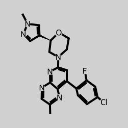 Cc1cnc2nc(N3CCO[C@H](c4cnn(C)c4)C3)cc(-c3ccc(Cl)cc3F)c2n1